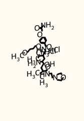 COCCCCOc1cc(OCC(N)=O)ccc1C(=O)NCC(CC(N)C(O)CC(C(=O)NCCN1CCOCC1)C(C)C)C(C)C.Cl.Cl